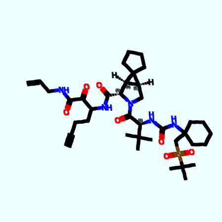 C#CCCC(NC(=O)[C@@H]1[C@@H]2[C@H](CN1C(=O)[C@@H](NC(=O)NC1(CS(=O)(=O)C(C)(C)C)CCCCC1)C(C)(C)C)C21CCCC1)C(=O)C(=O)NCC=C